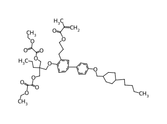 C=C(C)C(=O)OCCCc1cc(-c2ccc(OCC3CCC(CCCCC)CC3)cc2)ccc1OCC(CCC)(COC(=O)C(=O)OCC)COC(=O)C(=O)OCC